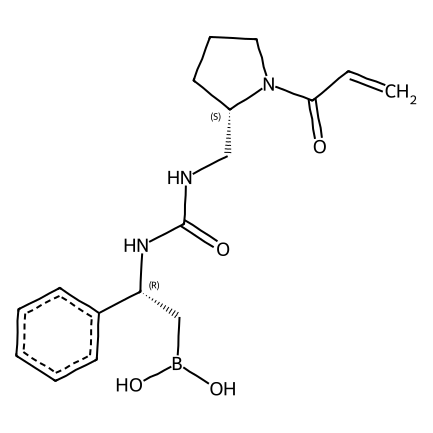 C=CC(=O)N1CCC[C@H]1CNC(=O)N[C@H](CB(O)O)c1ccccc1